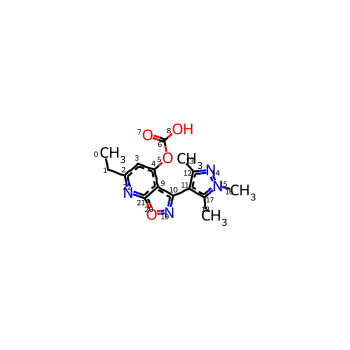 CCc1cc(OC(=O)O)c2c(-c3c(C)nn(C)c3C)noc2n1